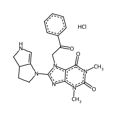 Cl.Cn1c(=O)c2c(nc(N3CCC4CNC=C43)n2CC(=O)c2ccccc2)n(C)c1=O